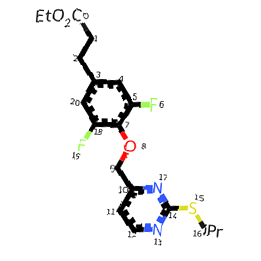 CCOC(=O)CCc1cc(F)c(OCc2ccnc(SC(C)C)n2)c(F)c1